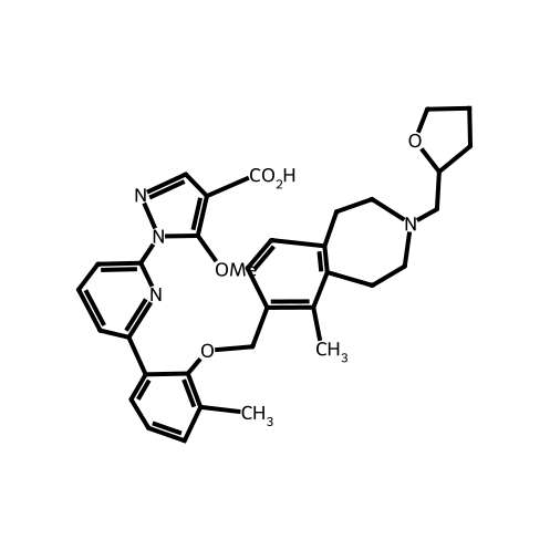 COc1c(C(=O)O)cnn1-c1cccc(-c2cccc(C)c2OCc2ccc3c(c2C)CCN(CC2CCCO2)CC3)n1